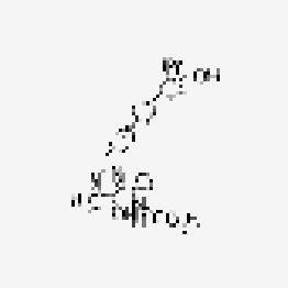 Cc1nc(CC2CCN(c3ccc(-c4ccc(CO)c(C(C)C)c4)cc3)CC2)nc(C(=O)NCC(=O)O)c1O